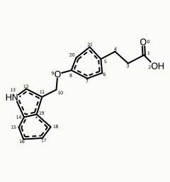 O=C(O)CCc1ccc(OCc2c[nH]c3ccccc23)cc1